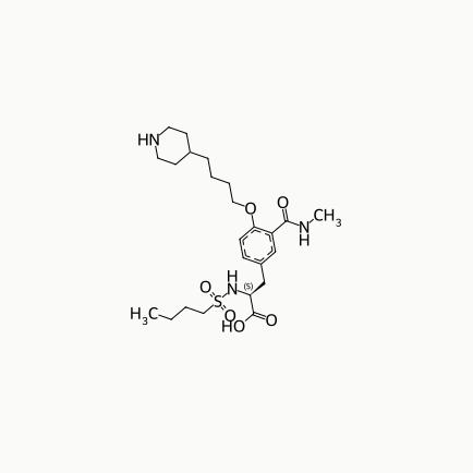 CCCCS(=O)(=O)N[C@@H](Cc1ccc(OCCCCC2CCNCC2)c(C(=O)NC)c1)C(=O)O